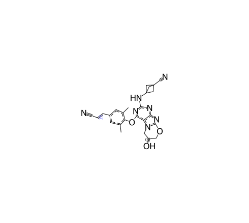 Cc1cc(/C=C/C#N)cc(C)c1Oc1nc(NC23CC(C#N)(C2)C3)nc2nc3n(c12)C[C@H](O)CO3